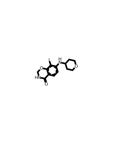 O=C1NCOc2c1ccc(NC1CCOCC1)c2I